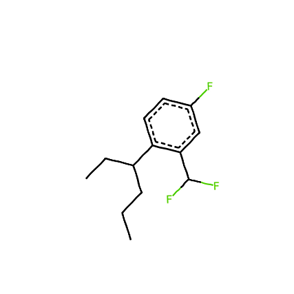 CCCC(CC)c1ccc(F)cc1C(F)F